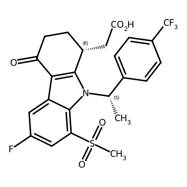 C[C@@H](c1ccc(C(F)(F)F)cc1)n1c2c(c3cc(F)cc(S(C)(=O)=O)c31)C(=O)CC[C@@H]2CC(=O)O